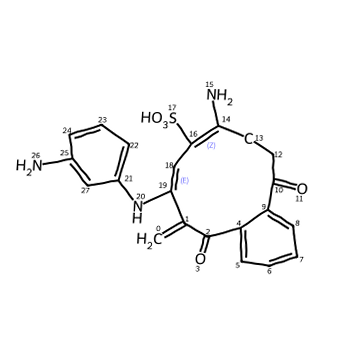 C=C1C(=O)c2ccccc2C(=O)CC/C(N)=C(S(=O)(=O)O)\C=C/1Nc1cccc(N)c1